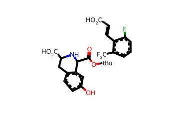 CC(C)(C)OC(=O)C1NC(C(=O)O)Cc2ccc(O)cc21.O=C(O)C=Cc1c(F)cccc1C(F)(F)F